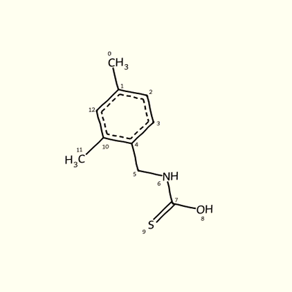 Cc1ccc(CNC(O)=S)c(C)c1